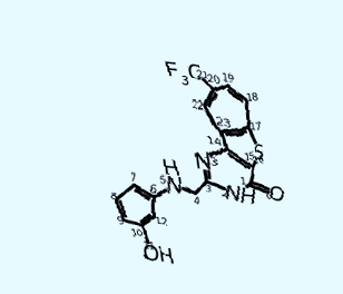 O=c1[nH]c(CNc2cccc(O)c2)nc2c1sc1ccc(C(F)(F)F)cc12